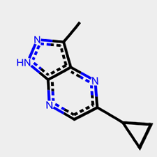 Cc1n[nH]c2ncc(C3CC3)nc12